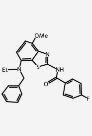 CCN(Cc1ccccc1)c1ccc(OC)c2nc(NC(=O)c3ccc(F)cc3)sc12